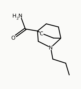 CCCN1CC2(C(N)=O)CCC1CC2